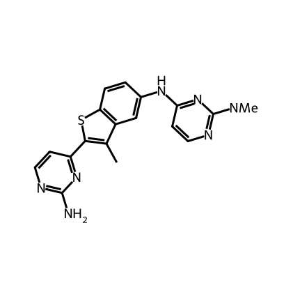 CNc1nccc(Nc2ccc3sc(-c4ccnc(N)n4)c(C)c3c2)n1